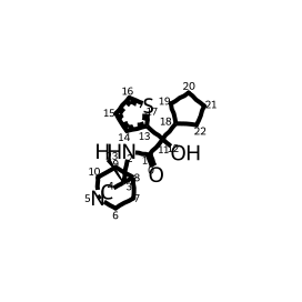 O=C(N[C@H]1CN2CCC1CC2)C(O)(c1cccs1)C1CCCC1